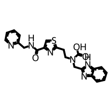 O=C(NCc1ccccn1)c1csc(CCN(Cc2nc3ccccc3[nH]2)C(=O)O)n1